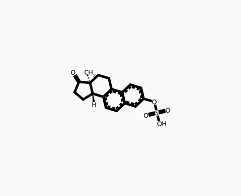 C[C@]12CCc3c(ccc4cc(OS(=O)(=O)O)ccc34)[C@@H]1CCC2=O